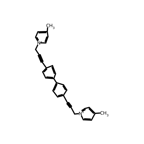 Cc1cc[n+](CC#Cc2ccc(-c3ccc(C#CC[n+]4ccc(C)cc4)cc3)cc2)cc1